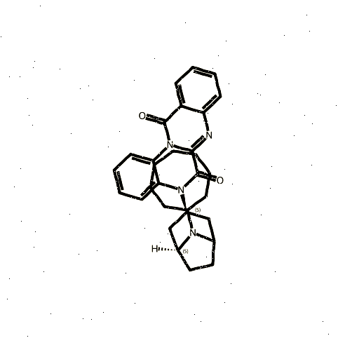 O=c1c2nc3ccccc3c(=O)n2c2ccccc2n1[C@H]1CC2CC[C@@H](C1)N2C1CCCCCCC1